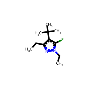 CCc1nn(CC)c(F)c1C(C)(C)C